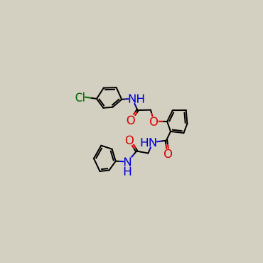 O=C(CNC(=O)c1ccccc1OCC(=O)Nc1ccc(Cl)cc1)Nc1ccccc1